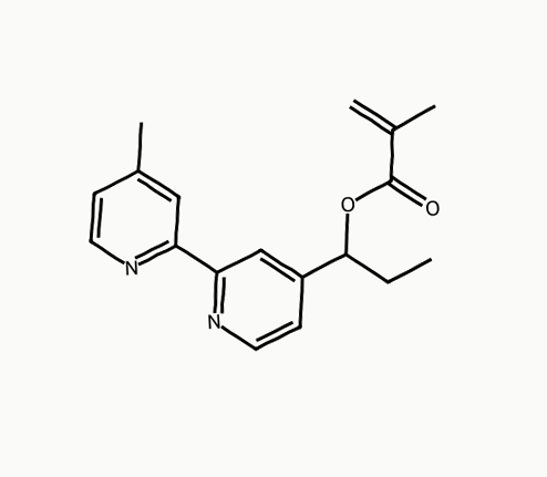 C=C(C)C(=O)OC(CC)c1ccnc(-c2cc(C)ccn2)c1